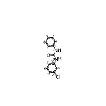 O=C(Nc1cccnc1)Nc1cccc(Cl)c1